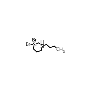 CCCC[SiH]1CCC[Si](Br)(Br)C1